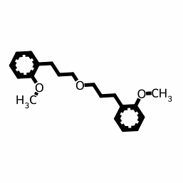 COc1ccccc1CCCOCCCc1ccccc1OC